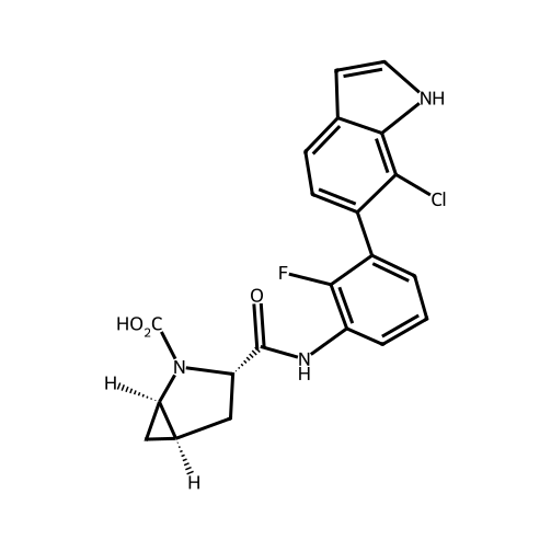 O=C(Nc1cccc(-c2ccc3cc[nH]c3c2Cl)c1F)[C@@H]1C[C@H]2C[C@H]2N1C(=O)O